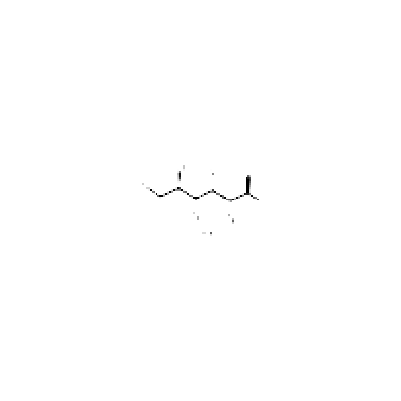 NC[C@@H](O)[C@@H](O)[C@H](O)[C@@H](O)C(=O)[O-].[Na+]